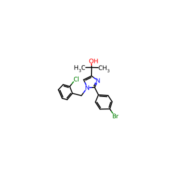 CC(C)(O)c1cn(Cc2ccccc2Cl)c(-c2ccc(Br)cc2)n1